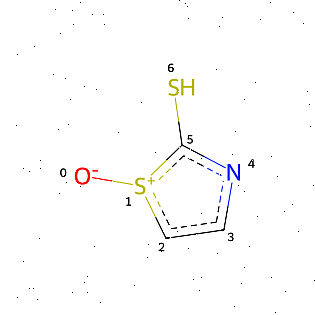 [O-][s+]1ccnc1S